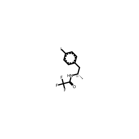 C[C@@H](Cc1ccc(I)cc1)NC(=O)C(F)(F)F